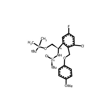 COc1ccc(OCc2c(Cl)cc(F)cc2[C@H](CO[Si](C)(C)C(C)(C)C)N[S@+]([O-])C(C)(C)C)cc1